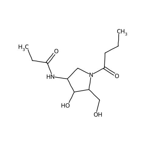 CCCC(=O)N1CC(NC(=O)CC)C(O)C1CO